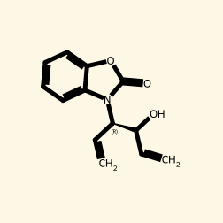 C=CC(O)[C@@H](C=C)n1c(=O)oc2ccccc21